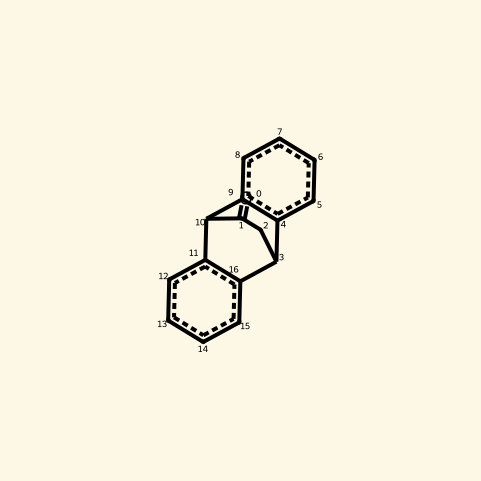 O=C1CC2c3ccccc3C1c1ccccc12